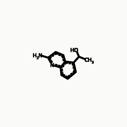 CC(O)c1cccc2nc(N)ccc12